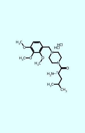 COc1ccc(CN2CCN(C(=O)[C@@H](N)CC(C)C)CC2)c(OC)c1OC.Cl.Cl